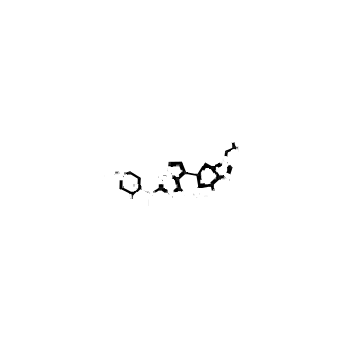 COc1nc(N[C@@H]2CCN(C)C[C@@H]2F)nn2ccc(-c3cc(F)c4ncn(CC(F)F)c4c3)c12